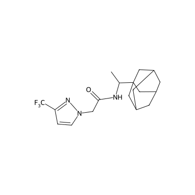 CC(NC(=O)Cn1ccc(C(F)(F)F)n1)C12CC3CC(CC(C3)C1)C2